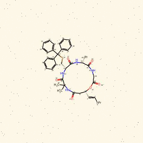 CCC/C=C/[C@@H]1CC(=O)NC(C)(C)C(=O)N[C@H](CSC(c2ccccc2)(c2ccccc2)c2ccccc2)C(=O)N[C@H](C(C)C)C(=O)NCC(=O)O1